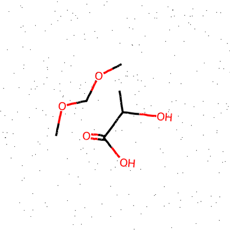 CC(O)C(=O)O.COCOC